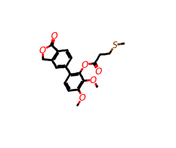 COc1ccc(-c2ccc3c(c2)COC3=O)c(OC(=O)CCSC)c1OC